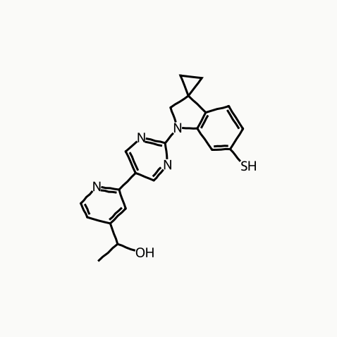 CC(O)c1ccnc(-c2cnc(N3CC4(CC4)c4ccc(S)cc43)nc2)c1